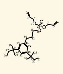 C=CCOP(=O)(OCC=C)OCCCc1cc(C(C)(C)CC)cc(C(C)(C)CC)c1